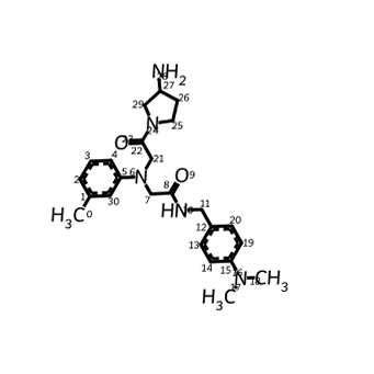 Cc1cccc(N(CC(=O)NCc2ccc(N(C)C)cc2)CC(=O)N2CCC(N)C2)c1